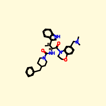 C[C@@H](c1c[nH]c2ccccc12)[C@@H](NC(=O)N1CCC(Cc2ccccc2)CC1)C(=O)N1CCOc2ccc(CN(C)C)cc21